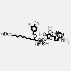 CCCCCCCCCCCCCCCCCCC[C@H](COP(O)(=P)OC[C@H]1O[C@@](C)(c2ccc3c(N)ncnn23)[C@H](O)[C@@H]1O)OCc1ccc(C#N)c(F)c1